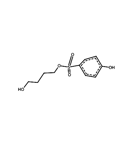 O=S(=O)(OCCCCO)c1ccc(O)cc1